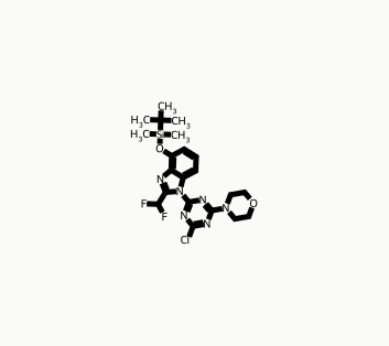 CC(C)(C)[Si](C)(C)Oc1cccc2c1nc(C(F)F)n2-c1nc(Cl)nc(N2CCOCC2)n1